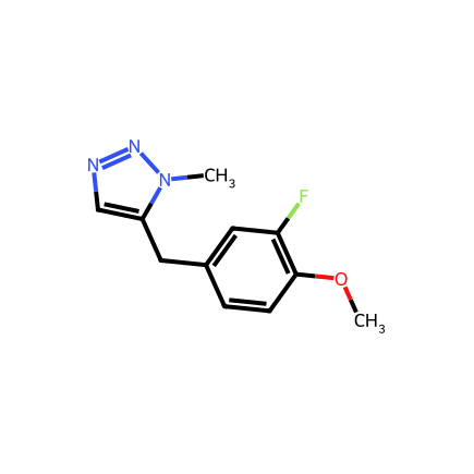 COc1ccc(Cc2cnnn2C)cc1F